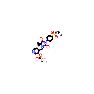 O=C1N(c2ccc(S(=O)(=O)C(F)(F)F)cc2)C(=O)C2(CC2)N1Cc1ccncc1OC(=O)C(F)(F)F